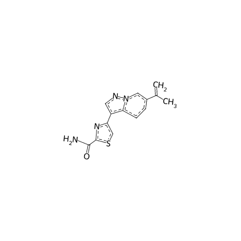 C=C(C)c1ccc2c(-c3csc(C(N)=O)n3)cnn2c1